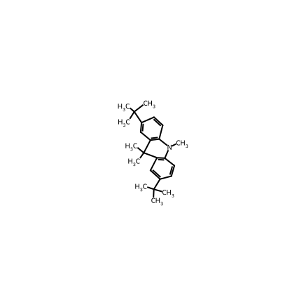 CN1c2ccc(C(C)(C)C)cc2C(C)(C)c2cc(C(C)(C)C)ccc21